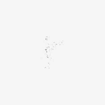 C=CC(=O)N1CCC(Oc2cc3c(Nc4cc(-c5cccs5)ccc4OC4CCN(C)C4)ncnc3cc2OC)CC1